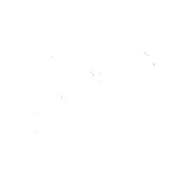 CCCN(CCC)C(=O)c1cccc(C(=O)N[C@@H](Cc2ccccc2)[C@H](O)CNCc2cccc(Cl)c2)c1